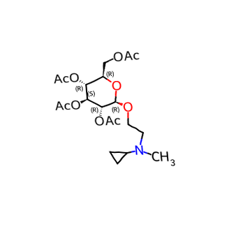 CC(=O)OC[C@H]1O[C@@H](OCCN(C)C2CC2)[C@H](OC(C)=O)[C@@H](OC(C)=O)[C@@H]1OC(C)=O